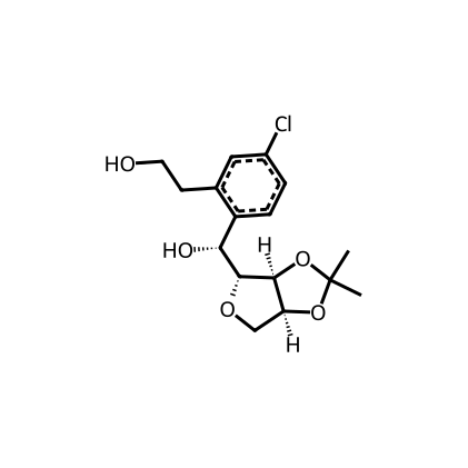 CC1(C)O[C@@H]2[C@@H]([C@H](O)c3ccc(Cl)cc3CCO)OC[C@@H]2O1